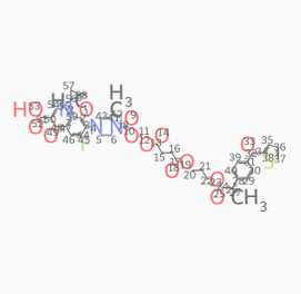 COc1c(N2CCN(C(=O)OCOC(=O)CCC(=O)OCCCOC(=O)C(C)c3ccc(C(=O)c4cccs4)cc3)C(C)C2)c(F)cc2c(=O)c(C(=O)O)cn(C3CC3)c12